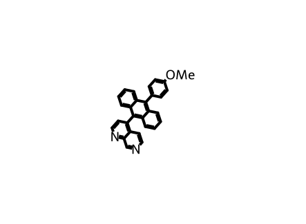 COc1ccc(-c2c3ccccc3c(-c3ccnc4cnccc34)c3ccccc23)cc1